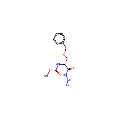 CCNNC(=O)[C@@H](COCc1ccccc1)NC(=O)OC(C)(C)C